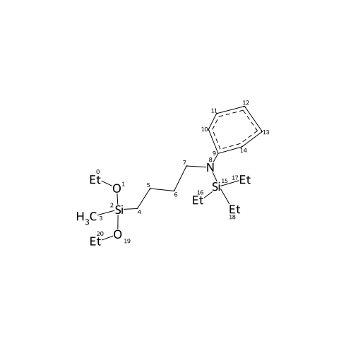 CCO[Si](C)(CCCCN(c1ccccc1)[Si](CC)(CC)CC)OCC